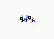 Cc1[nH]nnc1C(=O)N[C@@H]1CCC[C@H](Nc2nc(-c3c[nH]c4c(F)cc(Cl)cc34)ncc2F)C1